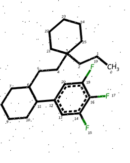 CCCC1(CCC2CCCCC2c2cc(F)c(F)c(F)c2)CCCCC1